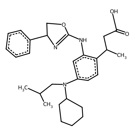 CC(C)CN(c1ccc(C(C)CC(=O)O)c(NC2=NC(c3ccccc3)CO2)c1)C1CCCCC1